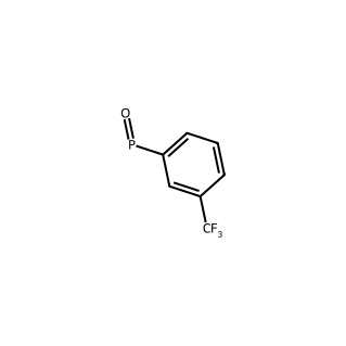 O=Pc1cccc(C(F)(F)F)c1